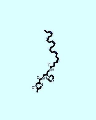 CC/C=C\C/C=C\C/C=C\C/C=C\C/C=C\C/C=C\CCC(=O)NCC(CNC(=O)c1c[n+]([O-])c(C)cn1)N1CCOCC1